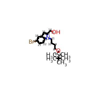 CC(C)(C)[Si](C)(C)OCCCCn1c(CO)cc2cc(Br)ccc21